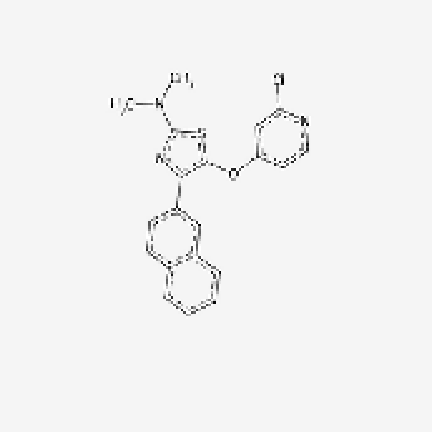 CN(C)c1nc(-c2ccc3ccccc3c2)c(Oc2ccnc(Cl)c2)s1